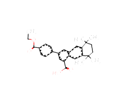 CCOC(=O)c1ccc(-c2cc(C(=O)O)c3cc4c(cc3c2)C(C)(C)CCC4(C)C)cc1